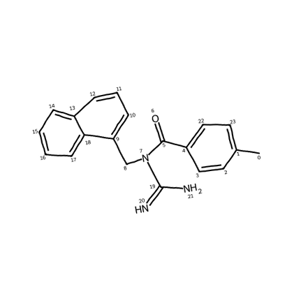 Cc1ccc(C(=O)N(Cc2cccc3ccccc23)C(=N)N)cc1